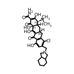 CN(C)[C@@H]1C(O)=C(C(N)=O)C(=O)[C@@]2(O)C(O)=C3C(=O)c4c(O)cc(CN5CC6CCCCC6C5)c(Cl)c4C[C@H]3C[C@@H]12